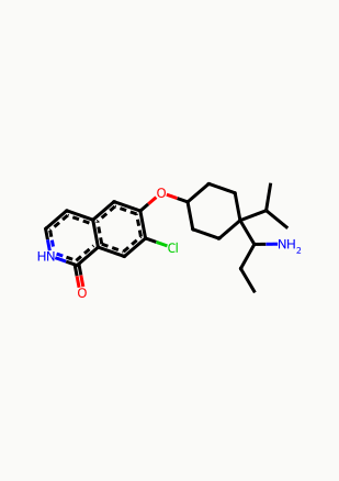 CCC(N)C1(C(C)C)CCC(Oc2cc3cc[nH]c(=O)c3cc2Cl)CC1